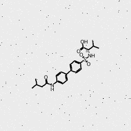 CC(C)CC(=O)Nc1ccc(-c2ccc(S(=O)(=O)N[C@H](C(=O)O)C(C)C)cc2)cc1